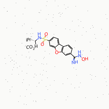 CC(C)[C@H](NS(=O)(=O)c1ccc2c(c1)oc1cc(C(=N)NO)ccc12)C(=O)O